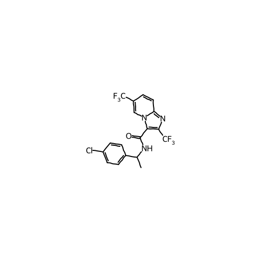 CC(NC(=O)c1c(C(F)(F)F)nc2ccc(C(F)(F)F)cn12)c1ccc(Cl)cc1